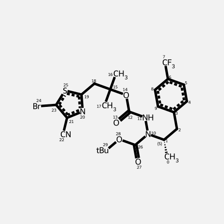 C[C@@H](Cc1ccc(C(F)(F)F)cc1)N(NC(=O)OC(C)(C)Cc1nc(C#N)c(Br)s1)C(=O)OC(C)(C)C